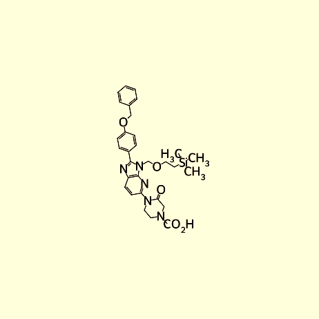 C[Si](C)(C)CCOCn1c(-c2ccc(OCc3ccccc3)cc2)nc2ccc(N3CCN(C(=O)O)CC3=O)nc21